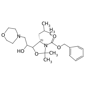 CC(C)C[C@H]1C(C(O)CN2CCOCC2)OC(C)(C)N1C(=O)OCc1ccccc1